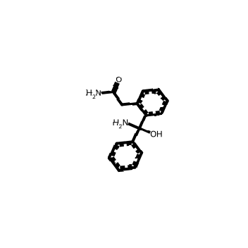 NC(=O)Cc1ccccc1C(N)(O)c1ccccc1